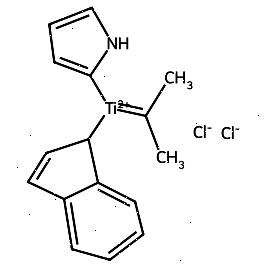 C[C](C)=[Ti+2]([c]1ccc[nH]1)[CH]1C=Cc2ccccc21.[Cl-].[Cl-]